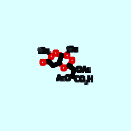 CC(=O)OC(C(=O)O)C(OC(C)=O)C(=O)OC(CC(=O)OC(C)(C)C)C(=O)OC(C)(C)C